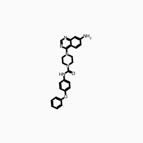 Nc1ccc2c(N3CCN(C(=O)Nc4ccc(Oc5ccccc5)cc4)CC3)ncnc2c1